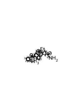 CCC1CN(C(=O)CN)CCC1NS(=O)(=O)c1ccc(NC(=O)c2ccccc2C)c2ccccc12